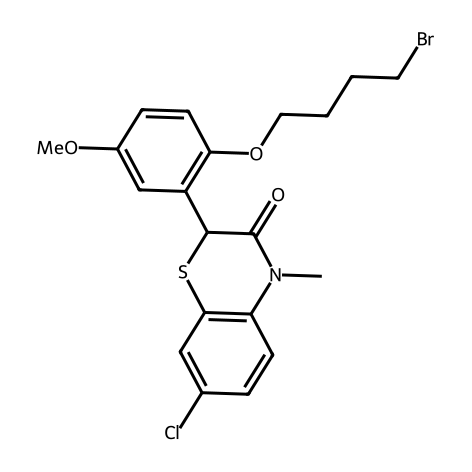 COc1ccc(OCCCCBr)c(C2Sc3cc(Cl)ccc3N(C)C2=O)c1